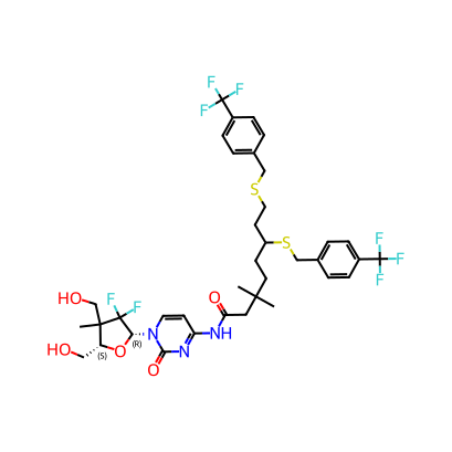 CC(C)(CCC(CCSCc1ccc(C(F)(F)F)cc1)SCc1ccc(C(F)(F)F)cc1)CC(=O)Nc1ccn([C@@H]2O[C@H](CO)C(C)(CO)C2(F)F)c(=O)n1